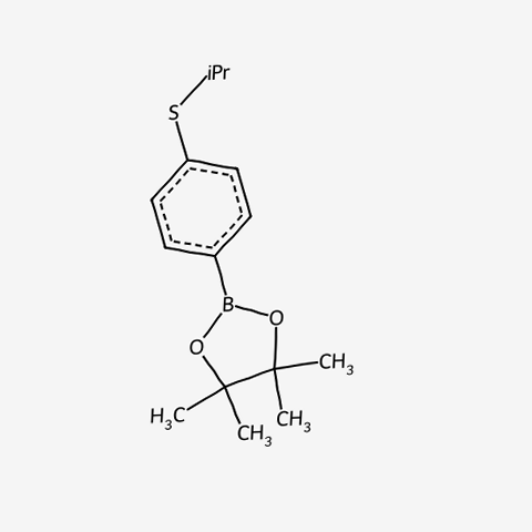 CC(C)Sc1ccc(B2OC(C)(C)C(C)(C)O2)cc1